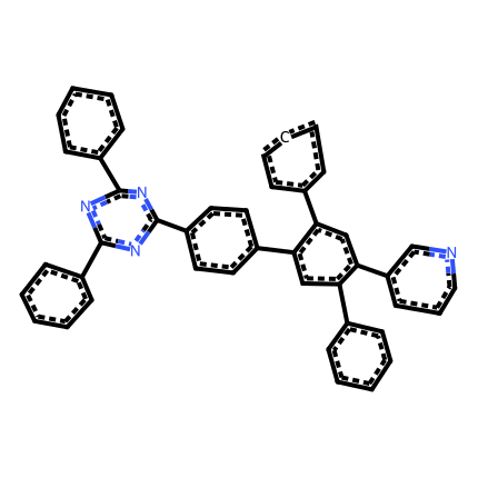 c1ccc(-c2nc(-c3ccccc3)nc(-c3ccc(-c4cc(-c5ccccc5)c(-c5cccnc5)cc4-c4ccccc4)cc3)n2)cc1